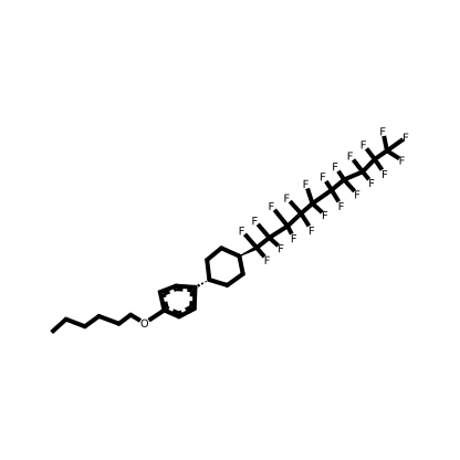 CCCCCCOc1ccc([C@H]2CC[C@H](C(F)(F)C(F)(F)C(F)(F)C(F)(F)C(F)(F)C(F)(F)C(F)(F)C(F)(F)C(F)(F)C(F)(F)F)CC2)cc1